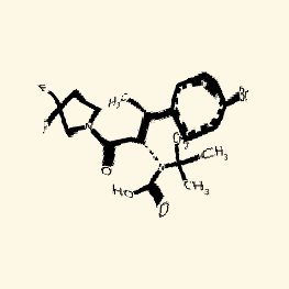 C[C@@H](c1ccc(Br)cc1)[C@@H](C(=O)N1CCC(F)(F)C1)N(C(=O)O)C(C)(C)C